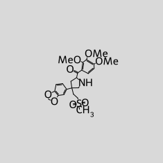 COc1ccc(C(=O)C2CC(CCS(C)(=O)=O)(c3ccc4c(c3)OCO4)CN2)c(OC)c1OC